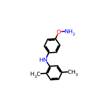 Cc1ccc(C)c(Nc2ccc(ON)cc2)c1